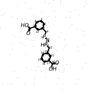 O=C(O)c1cccc(C/P=N/PCc2cccc(C(=O)O)c2)c1